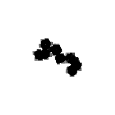 c1cc(-c2cccc(-n3c4ccccc4c4c5ccccc5ccc43)c2)cc(-c2cnc3oc4ccc5ccccc5c4c3n2)c1